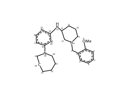 COc1ccccc1CN1CCCC(Nc2nccc(N3CCCCCC3)n2)C1